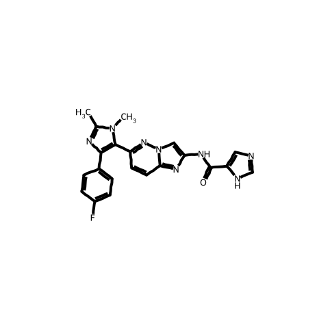 Cc1nc(-c2ccc(F)cc2)c(-c2ccc3nc(NC(=O)c4cnc[nH]4)cn3n2)n1C